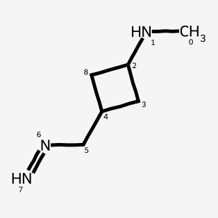 CNC1CC(CN=N)C1